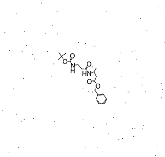 CC(CC(=O)OCc1ccccc1)NC(=O)CCNC(=O)OC(C)(C)C